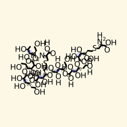 C/C(O)=C(/O)[C@@H](CCO)O[C@H]1OC(CO)[C@@H](O[C@@H](O)/C(O)=C(/O)[C@@H](CCO)O[C@H](O)/C(O)=C(\O)[C@@H](CCSC[C@@H](N)C(=O)O)O[C@H](O)/C(O)=C(\O)[C@@H](CCO)O[C@H](O)/C(O)=C(\O)[C@@H](CCO)O[C@@H](O)/C(O)=C(/O)[C@@H](CCSC[C@@H](N)C(=O)O)OO)C(O)C1O